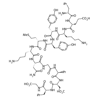 CSCC[C@H](NC(=O)[C@H](Cc1ccc(O)cc1)NC(=O)[C@H](Cc1ccc(O)cc1)NC(=O)[C@H](CCCCN)NC(=O)[C@H](CCC(=O)O)NC(=O)[C@@H](N)CC(C)C)C(=O)N[C@@H](CCCCN)C(=O)N[C@@H](CC(N)=O)C(=O)NCC(=O)N[C@H](C(=O)N[C@@H](CC(=O)O)C(=O)N[C@@H](CC(C)C)C(=O)NCC(=O)O)C(C)C